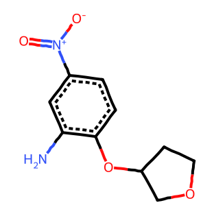 Nc1cc([N+](=O)[O-])ccc1OC1CCOC1